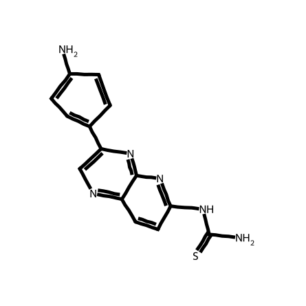 NC(=S)Nc1ccc2ncc(-c3ccc(N)cc3)nc2n1